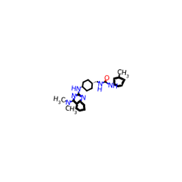 Cc1cccc(NC(=O)NC[C@H]2CC[C@@H](Nc3nc(N(C)C)c4ccccc4n3)CC2)c1